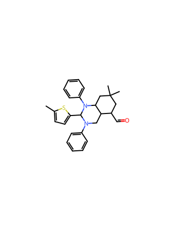 Cc1ccc(C2N(c3ccccc3)CC3C(C=O)CC(C)(C)CC3N2c2ccccc2)s1